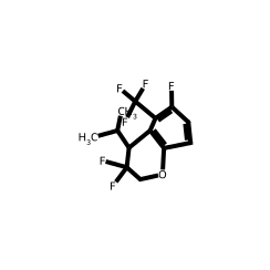 CC(C)C1c2c(ccc(F)c2C(F)(F)F)OCC1(F)F